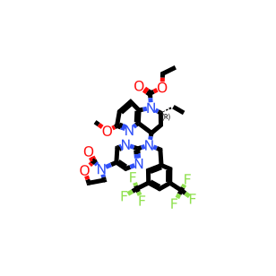 CCOC(=O)N1c2ccc(OC)nc2C(N(Cc2cc(C(F)(F)F)cc(C(F)(F)F)c2)c2ncc(N3CCOC3=O)cn2)C[C@H]1CC